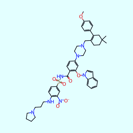 COc1ccc(C2=C(CN3CCN(c4ccc(C(=O)NS(=O)(=O)c5ccc(NCCCN6CCCC6)c([N+](=O)[O-])c5)c(On5ccc6ccccc65)c4)CC3)CCC(C)(C)C2)cc1